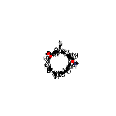 C/C=C/C[C@@H](C)[C@@H](O)[C@H]1C(=O)N[C@@H](CC)C(=O)N(C)[C@H](SCCCN(C)C)C(=O)N(C)[C@@H](CC(C)(C)OC)C(=O)NC(=O)N(C)C(=O)NC(=O)N[C@H](C)C(=O)N(C)[C@H](CC(C)C)C(=O)N(C)C(=O)N(C)[C@@H](C(C)C)C(=O)N1C